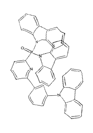 O=P(c1cccc(-c2cccc(-n3c4ccccc4c4ccccc43)c2)n1)(n1c2ccccc2c2ccccc21)n1c2ccccc2c2ccccc21